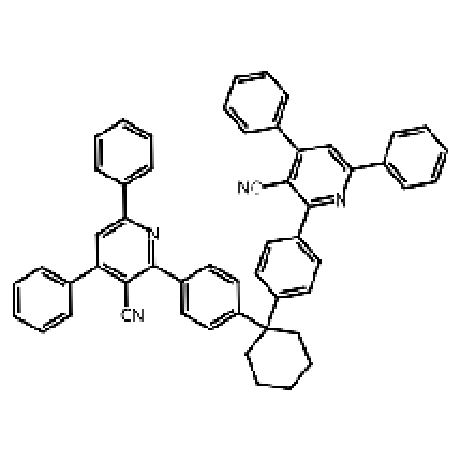 N#Cc1c(-c2ccccc2)cc(-c2ccccc2)nc1-c1ccc(C2(c3ccc(-c4nc(-c5ccccc5)cc(-c5ccccc5)c4C#N)cc3)CCCCC2)cc1